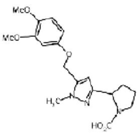 COc1ccc(OCc2cc(C3CCCN3C(=O)O)nn2C)cc1OC